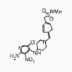 CNS(=O)(=O)CC1=CCC(=CN2CCC(Nc3c(Cl)cnc(N)c3[N+](=O)[O-])CC2)C=C1